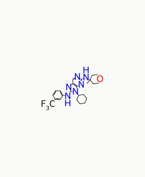 CC1(Nc2ncc3nc(Nc4cccc(C(F)(F)F)c4)n(C4CCCCC4)c3n2)CCOCC1